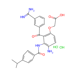 CC(C)c1ccc(C(=O)Nc2c(N)ccc(OCC(=O)O)c2C(=O)c2cccc(C(=N)N)c2)cc1.Cl.Cl